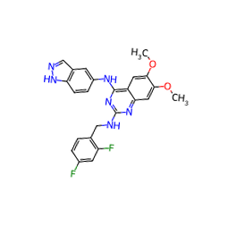 COc1cc2nc(NCc3ccc(F)cc3F)nc(Nc3ccc4[nH]ncc4c3)c2cc1OC